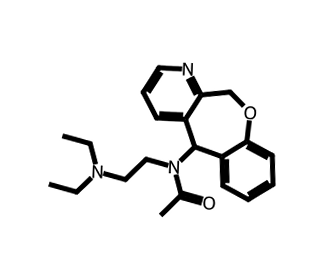 CCN(CC)CCN(C(C)=O)C1c2ccccc2OCc2ncccc21